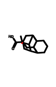 CCC1C2CC3(C(=O)O)CC1C1CCCC2C1C3